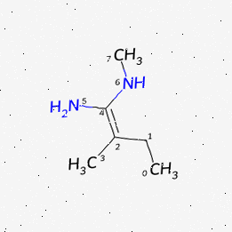 CC/C(C)=C(/N)NC